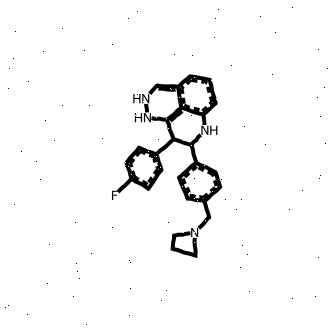 Fc1ccc(C2C3=c4c(cccc4=CNN3)NC2c2ccc(CN3CCC3)cc2)cc1